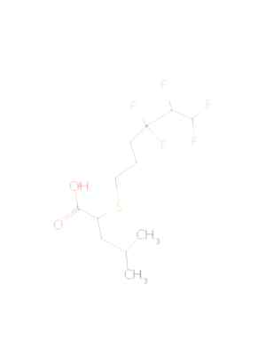 CC(C)CC(SCCCC(F)(F)C(F)C(F)F)C(=O)O